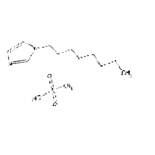 CCCCCCCCn1ccnc1.CS(=O)(=O)O